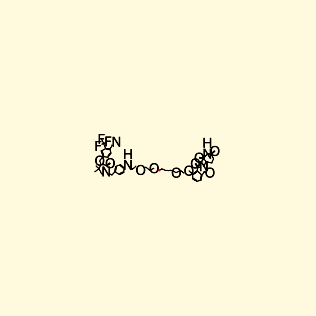 CC1(C)CN(Cc2ccc(NCCOCCOCCCCOCCOc3cccc4c3C(=O)N(C3CCC(=O)NC3=O)C4=O)cc2)C(=O)C1Oc1ccc(C#N)c(C(F)(F)F)c1